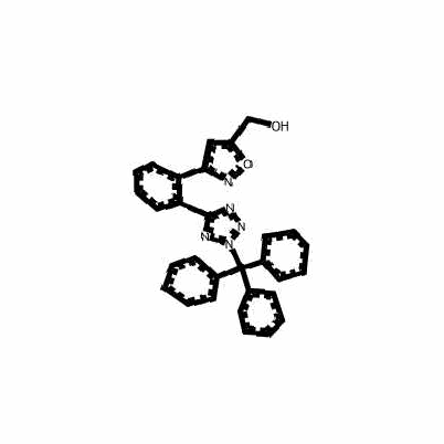 OCc1cc(-c2ccccc2-c2nnn(C(c3ccccc3)(c3ccccc3)c3ccccc3)n2)no1